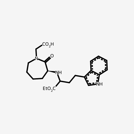 CCOC(=O)C(CCc1c[nH]c2ccccc12)N[C@H]1CCCCN(CC(=O)O)C1=O